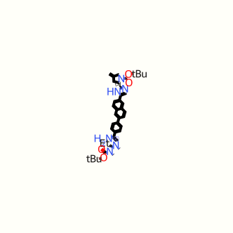 C=C1C[C@@H](c2ncc(-c3ccc4cc(-c5ccc(/C(N)=C/N(C)C(CC)N(C)C(=O)OC(C)(C)C)cc5)ccc4c3)[nH]2)N(C(=O)OC(C)(C)C)C1